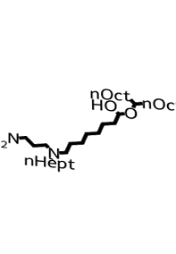 CCCCCCCCC(CCCCCCCC)OC(O)CCCCCCCN(CCCN)CCCCCCC